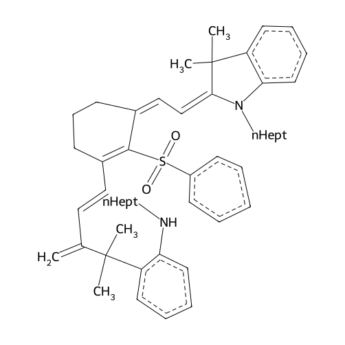 C=C(C=CC1=C(S(=O)(=O)c2ccccc2)C(=CC=C2N(CCCCCCC)c3ccccc3C2(C)C)CCC1)C(C)(C)c1ccccc1NCCCCCCC